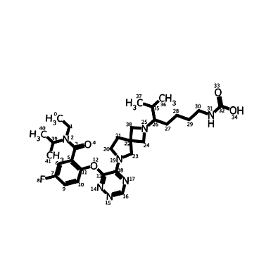 CCN(C(=O)c1cc(F)ccc1Oc1nncnc1N1CCC2(C1)CN(C(CCCCNC(=O)O)C(C)C)C2)C(C)C